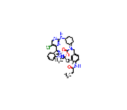 C=CC(=O)Nc1ccc(CN(C(=O)OC(C)(C)C)[C@H]2CCCC(Nc3ncc(Cl)c(-c4n[nH]c5ccccc45)n3)C2)cc1